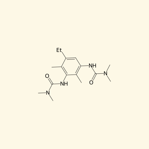 CCc1cc(NC(=O)N(C)C)c(C)c(NC(=O)N(C)C)c1C